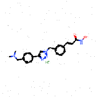 CN(C)Cc1ccc(-c2cn(Cc3cccc(C=CC(=O)NO)c3)nn2)cc1.Cl